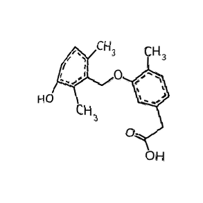 Cc1ccc(CC(=O)O)cc1OCc1c(C)ccc(O)c1C